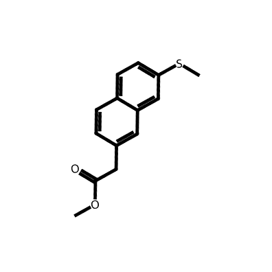 COC(=O)Cc1ccc2ccc(SC)cc2c1